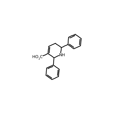 O=C(O)C1=CCC(c2ccccc2)NC1c1ccccc1